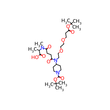 CC(C(=O)O)N(C)C(=O)CCC(=O)N(CCOCCOCCC(=O)OC(C)(C)C)C1CCN(C(=O)OC(C)(C)C)CC1